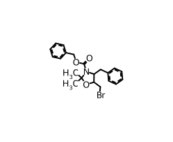 CC1(C)OC(CBr)C(Cc2ccccc2)N1C(=O)OCc1ccccc1